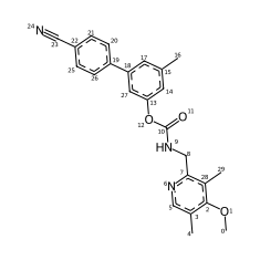 COc1c(C)cnc(CNC(=O)Oc2cc(C)cc(-c3ccc(C#N)cc3)c2)c1C